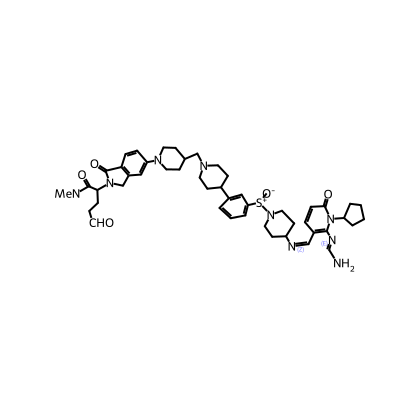 CNC(=O)C(CCC=O)N1Cc2cc(N3CCC(CN4CCC(c5cccc([S+]([O-])N6CCC(/N=C\c7ccc(=O)n(C8CCCC8)c7/N=C/N)CC6)c5)CC4)CC3)ccc2C1=O